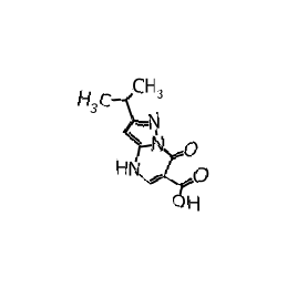 CC(C)c1cc2[nH]cc(C(=O)O)c(=O)n2n1